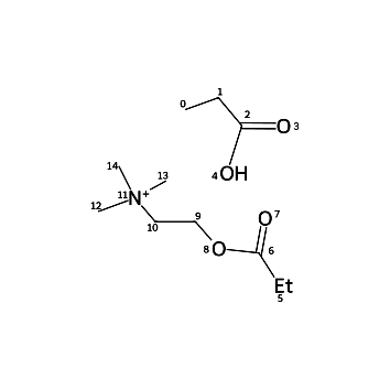 CCC(=O)O.CCC(=O)OCC[N+](C)(C)C